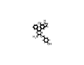 Nc1nc(-c2ccccc2)c(-c2cc(Cl)c3[nH]ncc3c2)nc1OCC1CCC(O)CC1